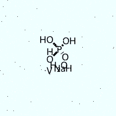 O.O=P(O)(O)O.[NaH].[V]